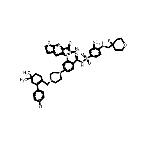 Cn1c(=O)c2nc3[nH]ccc3cc2n1-c1cc(N2CCN(CC3=C(c4ccc(Cl)cc4)CC(C)(C)CC3)CC2)ccc1C(=O)NS(=O)(=O)c1ccc(NCC2(F)CCOCC2)c([N+](=O)[O-])c1